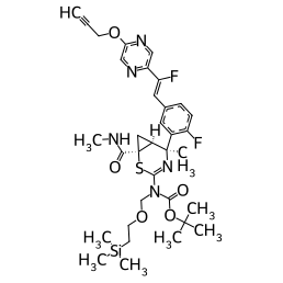 C#CCOc1cnc(/C(F)=C/c2ccc(F)c([C@@]3(C)N=C(N(COCC[Si](C)(C)C)C(=O)OC(C)(C)C)S[C@@]4(C(=O)NC)C[C@H]43)c2)cn1